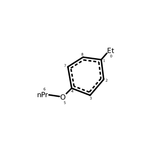 [CH2]Cc1ccc(OCCC)cc1